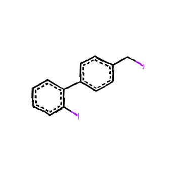 ICc1ccc(-c2ccccc2I)cc1